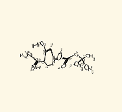 CC(C)(C)OC(=O)ON1CCC(C(=N)N)C(O)C1